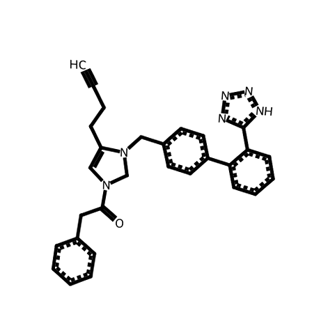 C#CCCC1=CN(C(=O)Cc2ccccc2)CN1Cc1ccc(-c2ccccc2-c2nnn[nH]2)cc1